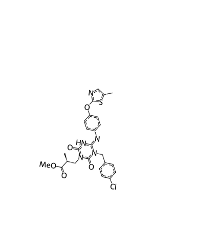 COC(=O)[C@@H](C)Cn1c(=O)[nH]/c(=N\c2ccc(Oc3ncc(C)s3)cc2)n(Cc2ccc(Cl)cc2)c1=O